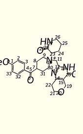 COc1ccc(C(=O)C2CC[N+](Cc3nc4c(c(=O)[nH]3)COCC4)([C@H]3CCCNC3=O)CC2)cc1